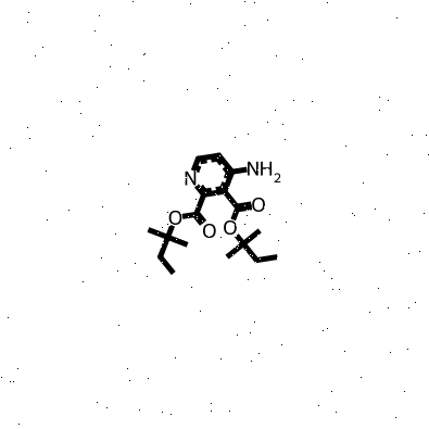 CCC(C)(C)OC(=O)c1nccc(N)c1C(=O)OC(C)(C)CC